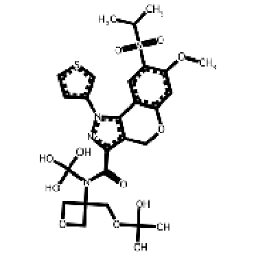 COc1cc2c(cc1S(=O)(=O)C(C)C)-c1c(c(C(=O)N(C(O)(O)O)C3(COC(O)(O)O)COC3)nn1-c1ccsc1)CO2